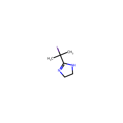 CC(C)(I)C1=NCCN1